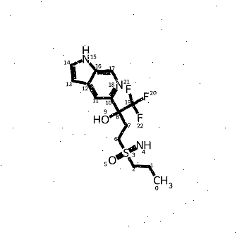 CCCS(=N)(=O)CCC(O)(c1cc2cc[nH]c2cn1)C(F)(F)F